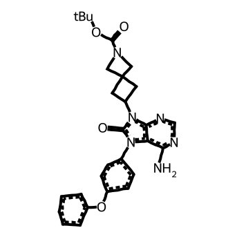 CC(C)(C)OC(=O)N1CC2(CC(n3c(=O)n(-c4ccc(Oc5ccccc5)cc4)c4c(N)ncnc43)C2)C1